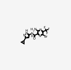 Nc1nc(C(F)(F)F)c(Br)nc1C(=O)Nc1cc(C2CC2)n[nH]1